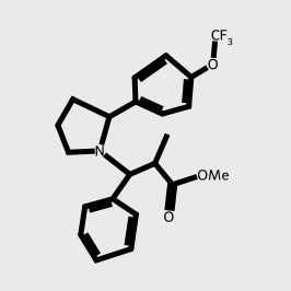 COC(=O)C(C)C(c1ccccc1)N1CCCC1c1ccc(OC(F)(F)F)cc1